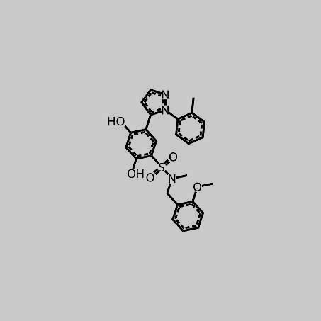 COc1ccccc1CN(C)S(=O)(=O)c1cc(-c2ccnn2-c2ccccc2C)c(O)cc1O